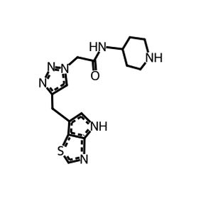 O=C(Cn1cc(Cc2c[nH]c3ncsc23)nn1)NC1CCNCC1